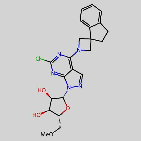 [CH2]OC[C@H]1O[C@@H](n2ncc3c(N4CC5(CCc6ccccc65)C4)nc(Cl)nc32)[C@H](O)[C@@H]1O